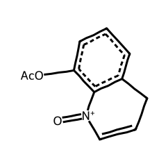 CC(=O)Oc1cccc2c1[N+](=O)C=CC2